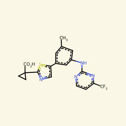 Cc1cc(Nc2nccc(C(F)(F)F)n2)cc(-c2cnc(C3(C(=O)O)CC3)s2)c1